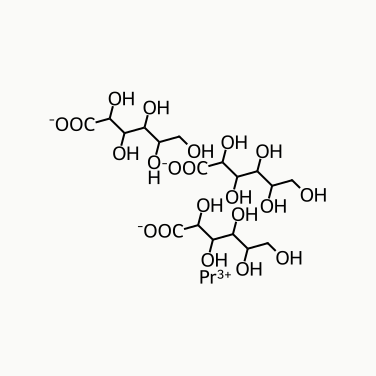 O=C([O-])C(O)C(O)C(O)C(O)CO.O=C([O-])C(O)C(O)C(O)C(O)CO.O=C([O-])C(O)C(O)C(O)C(O)CO.[Pr+3]